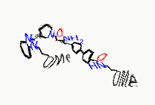 COCCCNC(=O)c1ccc(-c2ccc(C[C@@H](N)CC(=O)N3CCC[C@@H](c4nc5ccccc5n4CCCOC)C3)cc2)cc1